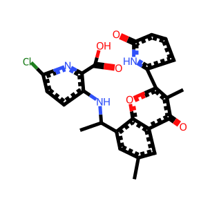 Cc1cc(C(C)Nc2ccc(Cl)nc2C(=O)O)c2oc(-c3cccc(=O)[nH]3)c(C)c(=O)c2c1